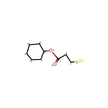 O=C(CCS)OC1CCCCC1